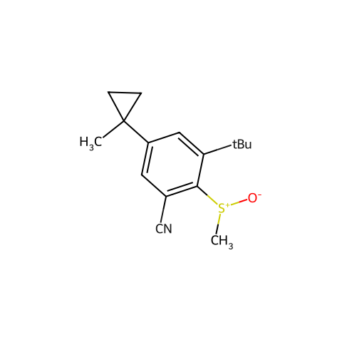 C[S+]([O-])c1c(C#N)cc(C2(C)CC2)cc1C(C)(C)C